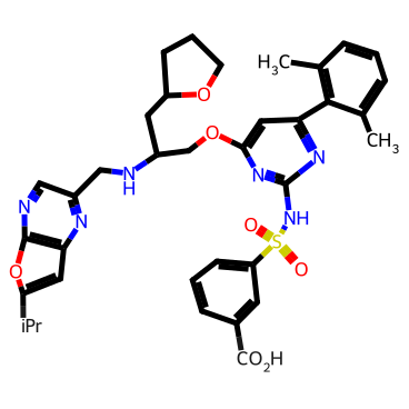 Cc1cccc(C)c1-c1cc(OCC(CC2CCCO2)NCc2cnc3oc(C(C)C)cc3n2)nc(NS(=O)(=O)c2cccc(C(=O)O)c2)n1